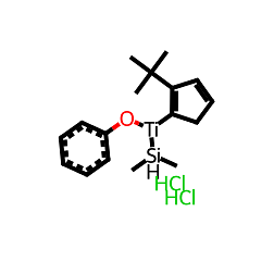 C[SiH](C)[Ti]([O]c1ccccc1)[C]1=C(C(C)(C)C)C=CC1.Cl.Cl